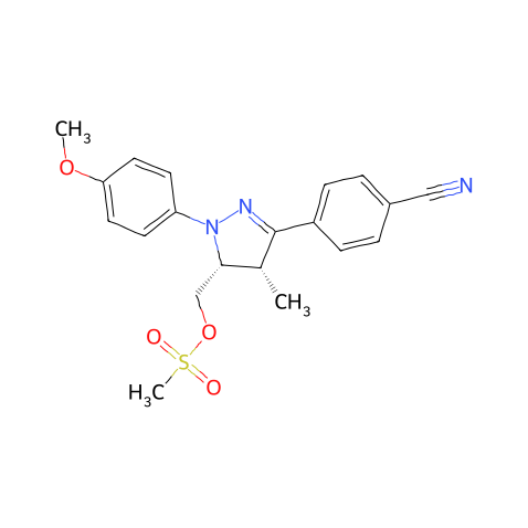 COc1ccc(N2N=C(c3ccc(C#N)cc3)[C@H](C)[C@@H]2COS(C)(=O)=O)cc1